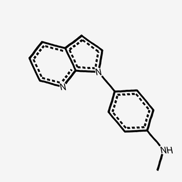 CNc1ccc(-n2ccc3cccnc32)cc1